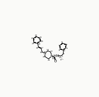 [CH2][C@@H](Cc1ccccc1)NC(=O)N1CCN(CC=Cc2ccccc2)CC1